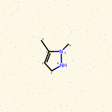 CC1=C[CH]NN1C